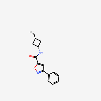 C[C@H]1C[C@H](NC(=O)c2cc(-c3ccccc3)no2)C1